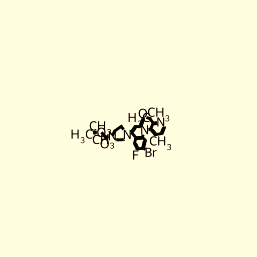 Cc1ccnc(C(C)C)c1N1C(=C=O)C=C(N2CCN(C(=O)OC(C)(C)C)CC2)c2cc(F)c(Br)cc21